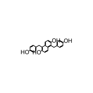 Oc1ccc(Cc2c(O)ccc3c(Cc4ccc(O)cc4)c(O)ccc23)cc1